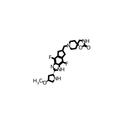 CO[C@@H]1CN[C@@H](c2nc3c(F)c4c(c(F)c3[nH]2)CC(CN2CCC3(CC2)CNC(=O)O3)C4)C1